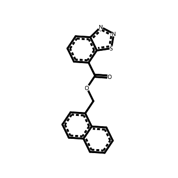 O=C(OCc1cccc2ccccc12)c1cccc2nnsc12